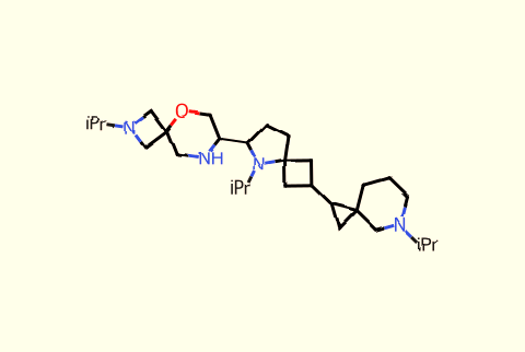 CC(C)N1CC2(CNC(C3CCC4(CC(C5CC56CCCN(C(C)C)C6)C4)N3C(C)C)CO2)C1